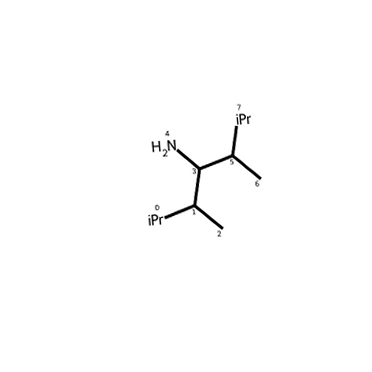 CC(C)C(C)C(N)C(C)C(C)C